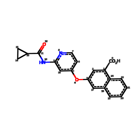 O=C(O)c1cc(Oc2ccnc(NC(=O)C3CC3)c2)cc2ccccc12